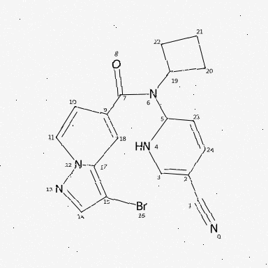 N#CC1=CNC(N(C(=O)c2ccn3ncc(Br)c3c2)C2CCC2)C=C1